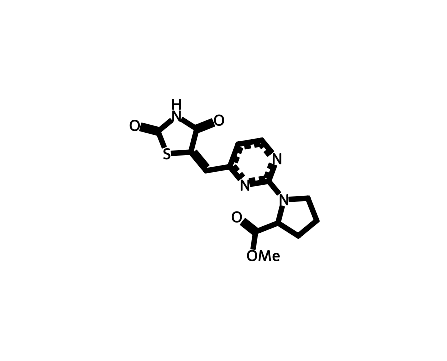 COC(=O)C1CCCN1c1nccc(C=C2SC(=O)NC2=O)n1